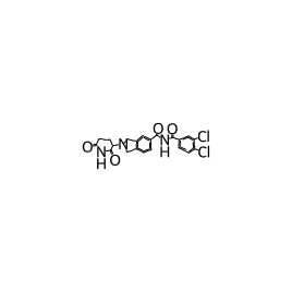 O=C1CCC(N2Cc3ccc(C(=O)NC(=O)c4ccc(Cl)c(Cl)c4)cc3C2)C(=O)N1